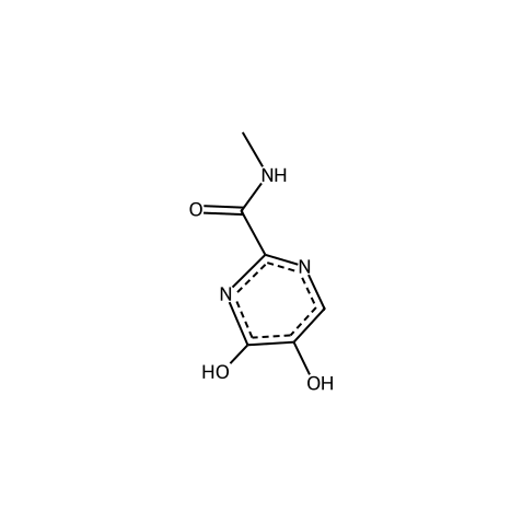 CNC(=O)c1ncc(O)c(O)n1